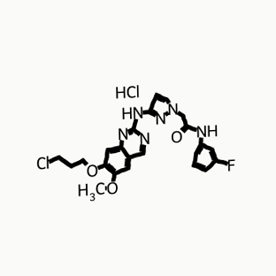 COc1cc2cnc(Nc3ccn(CC(=O)Nc4cccc(F)c4)n3)nc2cc1OCCCCl.Cl